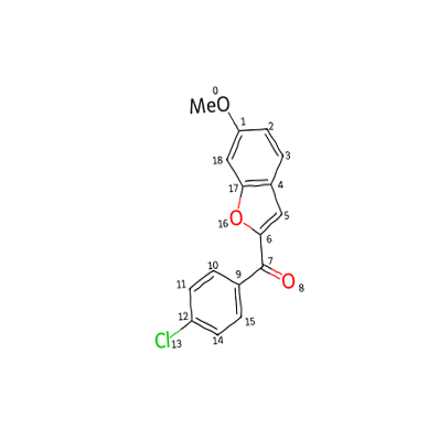 COc1ccc2cc(C(=O)c3ccc(Cl)cc3)oc2c1